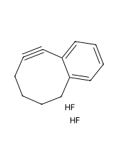 C1#Cc2ccccc2CCCC1.F.F